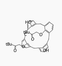 CC(C)(C)C(=O)COc1c2cccc1Cc1cccc(c1O)Cc1cccc(c1OCC(=O)C(C)(C)C)Cc1cccc(c1O)C2